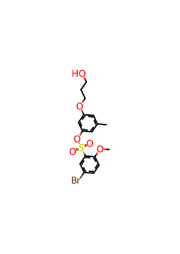 COc1ccc(Br)cc1S(=O)(=O)Oc1cc(C)cc(OCCCO)c1